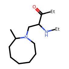 CCNC(CN1CCCCCCC1C)C(=O)CC